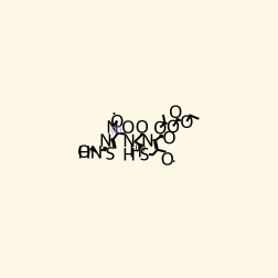 CCOC(=O)OC(C)OC(=O)C1=C(COC)CS[C@@H]2C(NC(=O)/C(=N\OC)c3csc(NC=O)n3)C(=O)N12